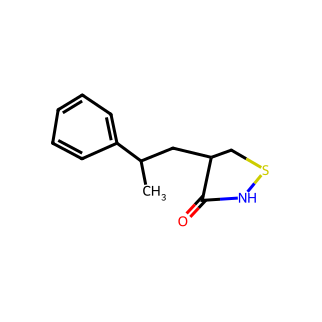 CC(CC1CSNC1=O)c1ccccc1